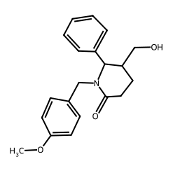 COc1ccc(CN2C(=O)CCC(CO)C2c2ccccc2)cc1